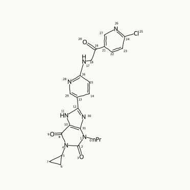 CCCn1c(=O)n(C2CC2)c(=O)c2[nH]c(-c3ccc(NCC(=O)c4ccc(Cl)nc4)nc3)nc21